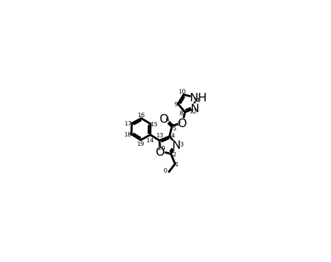 CCc1nc(C(=O)Oc2cc[nH]n2)c(-c2ccccc2)o1